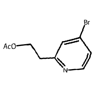 CC(=O)OCCc1cc(Br)ccn1